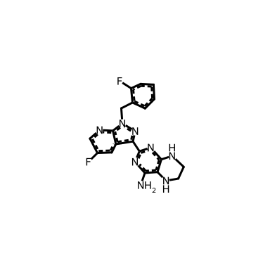 Nc1nc(-c2nn(Cc3ccccc3F)c3ncc(F)cc23)nc2c1NCCN2